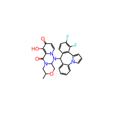 CC1CN2C(=O)c3c(O)c(=O)ccn3N(C3c4ccccc4-n4cccc4-c4c3ccc(F)c4F)C2CO1